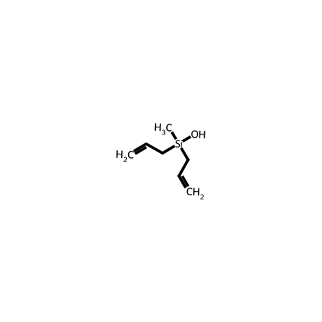 C=CC[Si](C)(O)CC=C